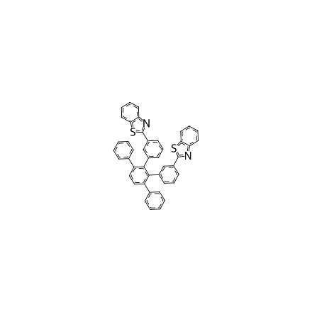 c1ccc(-c2ccc(-c3ccccc3)c(-c3cccc(-c4nc5ccccc5s4)c3)c2-c2cccc(-c3nc4ccccc4s3)c2)cc1